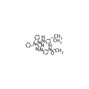 C=CC(=O)Nc1cccc(-n2cnc3c(N(Cc4ccccc4)Cc4ccccc4)nc(Nc4cccc(CC(C)C)c4)nc32)c1